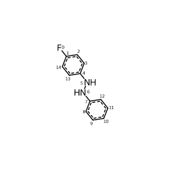 Fc1ccc(NNc2ccccc2)cc1